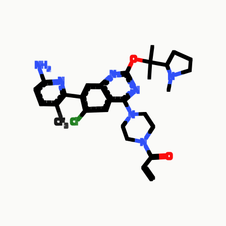 C=CC(=O)N1CCN(c2nc(OC(C)(C)C3CCCN3C)nc3cc(-c4nc(N)ccc4C(F)(F)F)c(Cl)cc23)CC1